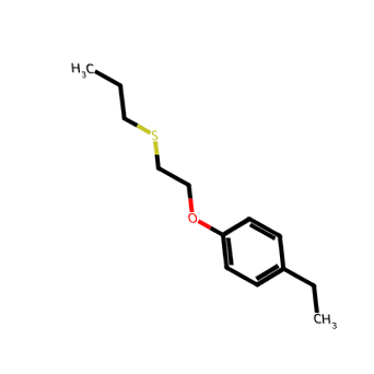 CCCSCCOc1ccc(CC)cc1